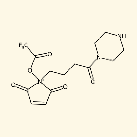 O=C(CCC[N+]1(OC(=O)C(F)(F)F)C(=O)C=CC1=O)N1CCNCC1